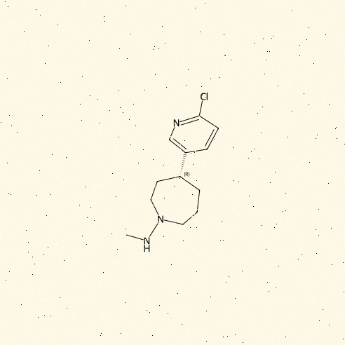 CNN1CCC[C@@H](c2ccc(Cl)nc2)CC1